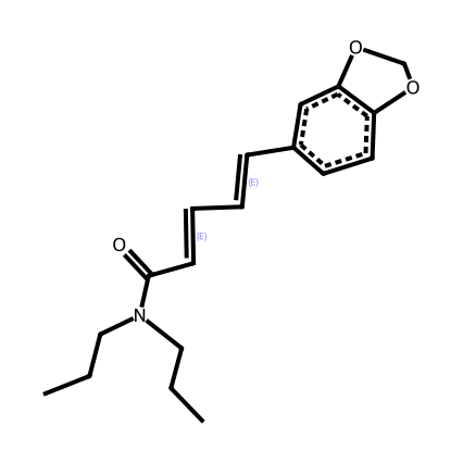 CCCN(CCC)C(=O)/C=C/C=C/c1ccc2c(c1)OCO2